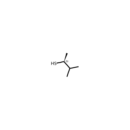 CC(C)[C@H](C)S